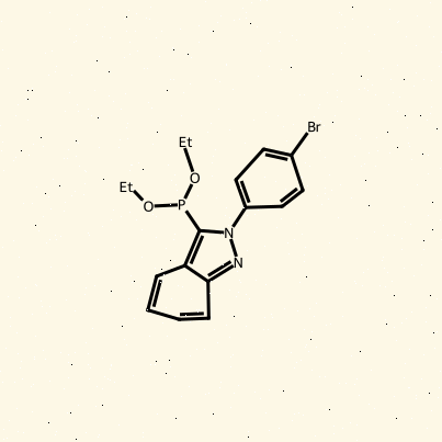 CCOP(OCC)c1c2ccccc2nn1-c1ccc(Br)cc1